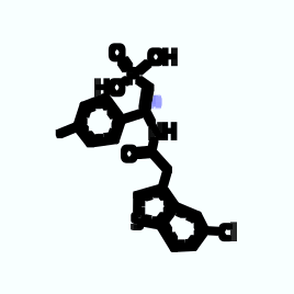 Cc1ccc(/C(=C\P(=O)(O)O)NC(=O)Cc2csc3ccc(Cl)cc23)cc1